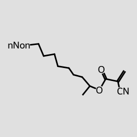 C=C(C#N)C(=O)OC(C)CCCCCCCCCCCCCCCC